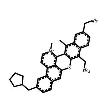 Cc1c2c(c(CC(C)(C)C)c3ccc(CC(C)C)cc13)Sc1cc3ccc(CC4CCCC4)cc3c3cc[n+](C)c-2c13